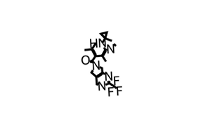 C=N/C(NC1(C)CC1)=C(\C)C(C(=O)N1Cc2cnc(C(F)(F)F)nc2C1)=C(C)C